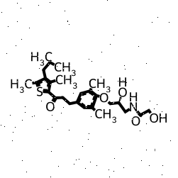 Cc1cc(CCC(=O)c2sc(C)c(CC(C)C)c2C)cc(C)c1OC[C@@H](O)CNC(=O)CO